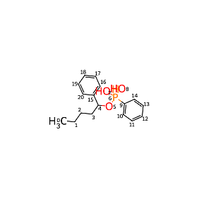 CCCCC(O[PH](O)(O)c1ccccc1)c1ccccc1